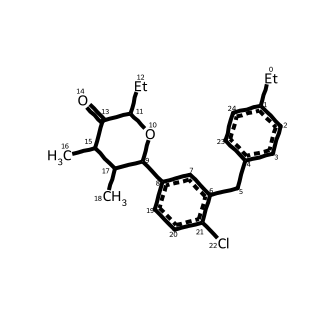 CCc1ccc(Cc2cc(C3OC(CC)C(=O)C(C)C3C)ccc2Cl)cc1